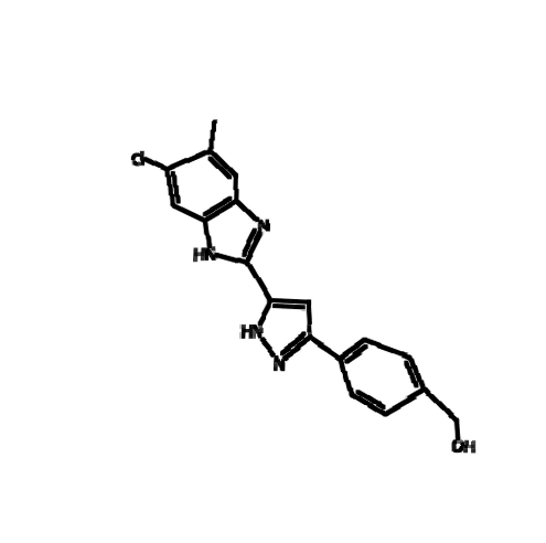 Cc1cc2nc(-c3cc(-c4ccc(CO)cc4)n[nH]3)[nH]c2cc1Cl